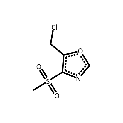 CS(=O)(=O)c1ncoc1CCl